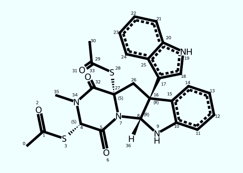 CC(=O)S[C@H]1C(=O)N2[C@H]3Nc4ccccc4[C@@]3(c3c[nH]c4ccccc34)C[C@]2(SC(C)=O)C(=O)N1C